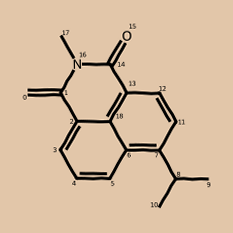 C=c1c2cccc3c(C(C)C)ccc(c(=O)n1C)c32